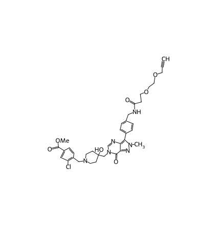 C#CCOCCOCCC(=O)NCc1ccc(-c2c3ncn(CC4(O)CCN(Cc5ccc(C(=O)OC)cc5Cl)CC4)c(=O)c3nn2C)cc1